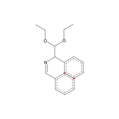 CCOC(OCC)C(/N=C\c1ccccc1)c1ccccc1